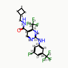 O=C(NCC1CCC1)c1cnc(Nc2cc(F)cc(C(F)(F)F)c2)nc1C(F)(F)F